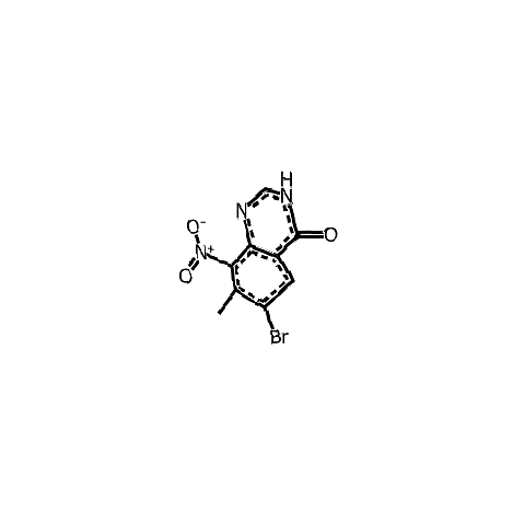 Cc1c(Br)cc2c(=O)[nH]cnc2c1[N+](=O)[O-]